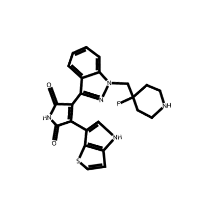 O=C1NC(=O)C(c2c[nH]c3ccsc23)=C1c1nn(CC2(F)CCNCC2)c2ccccc12